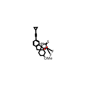 COC1CCC2(CC1)Cc1ccc(C#CC3CC3)cc1C21NC(=S)N2CC(F)(F)CN=C21